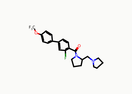 O=C(c1ccc(-c2ccc(OC(F)(F)F)cc2)cc1F)N1CCCC1CN1CCCC1